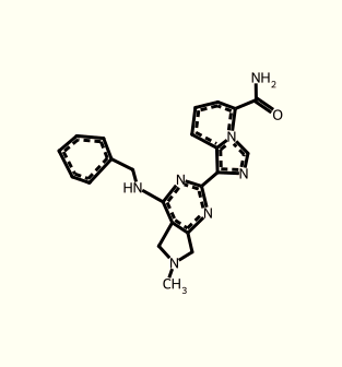 CN1Cc2nc(-c3ncn4c(C(N)=O)cccc34)nc(NCc3ccccc3)c2C1